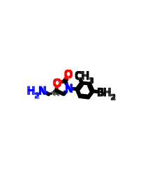 Bc1ccc(N2C[C@H](CN)OC2=O)c(C)c1